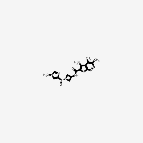 Cc1nnc2sc(C(=O)NC3CN([S+]([O-])c4cn(C)cn4)C3)c(N)c2c1C